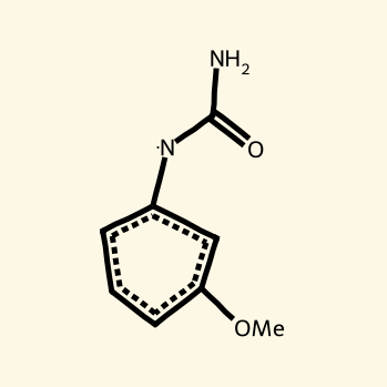 COc1cccc([N]C(N)=O)c1